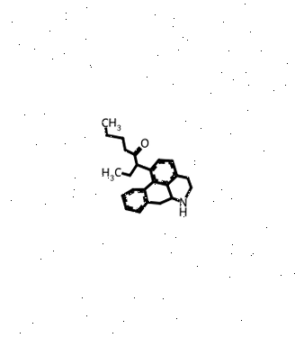 CCCCC(=O)C(CC)c1ccc2c3c1-c1ccccc1CC3NCC2